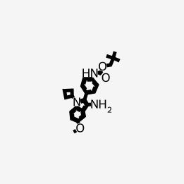 COc1ccc2c(c1)c(N)c(-c1ccc(NC(=O)OCC(C)(C)C)cc1)n2C1CCC1